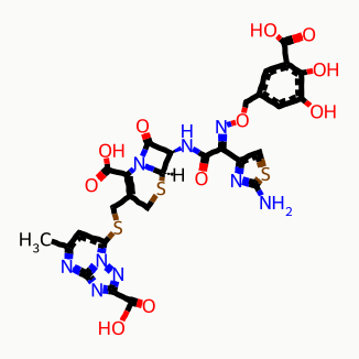 Cc1cc(SCC2=C(C(=O)O)N3C(=O)[C@@H](NC(=O)C(=NOCc4cc(O)c(O)c(C(=O)O)c4)c4csc(N)n4)[C@H]3SC2)n2nc(C(=O)O)nc2n1